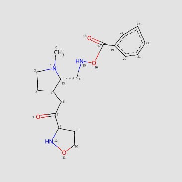 CN1CCC(CC(=O)C2CCON2)[C@H]1CNOC(=O)c1ccccc1